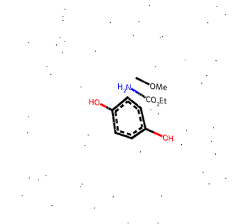 CCOC(N)=O.COC.Oc1ccc(O)cc1